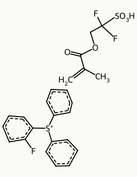 C=C(C)C(=O)OCC(F)(F)S(=O)(=O)O.Fc1ccccc1[S+](c1ccccc1)c1ccccc1